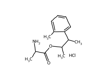 Cc1ccccc1C(C)C(C)OC(=O)C(C)N.Cl